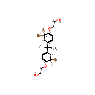 CC(C)(C1=CC=C(OCCO)C(Br)(Br)C1)C1=CC=C(OCCO)C(Br)(Br)C1